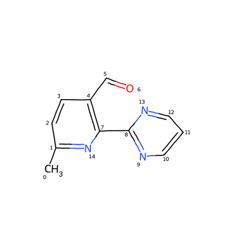 Cc1ccc(C=O)c(-c2ncccn2)n1